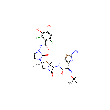 CC(C)(O/N=C(\C(=O)N[C@@H]1C(=O)N2C[C@@](C(=O)O)(N3CCN(NC(=O)c4c(F)cc(O)c(O)c4Cl)C3=O)S[C@H]12)c1csc(N)n1)C(=O)O